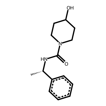 C[C@H](NC(=O)N1CCC(O)CC1)c1ccccc1